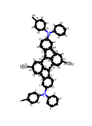 Cc1ccc(N(c2ccccc2)c2ccc3c(c2)c2cc(C(C)(C)C)cc4c5c6ccc(N(c7ccccc7)c7ccc(C)cc7)cc6c6cc(C(C)(C)C)cc(c3c24)c65)cc1